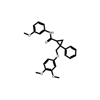 COc1cccc(NC(=O)C2CC2(COc2ccc(OC)c(OC)c2)c2ccccc2)c1